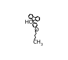 CCCCCCOc1ccc(C2(O)c3ccccc3-c3ccccc32)cc1